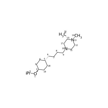 CC(C)O[C@H]1CC[C@H](CCCCN2CCN(C)[C@@H](C)C2)CC1